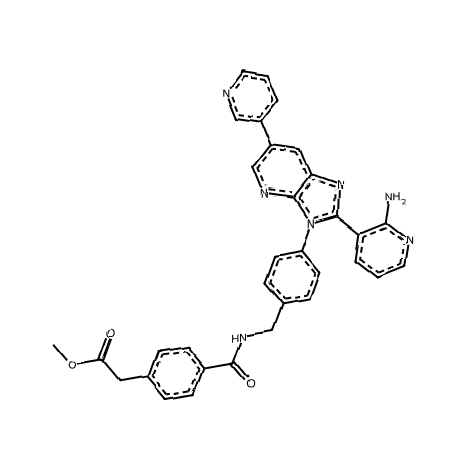 COC(=O)Cc1ccc(C(=O)NCc2ccc(-n3c(-c4cccnc4N)nc4cc(-c5cccnc5)cnc43)cc2)cc1